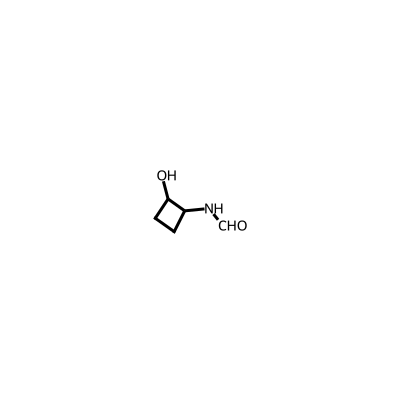 O=CNC1CCC1O